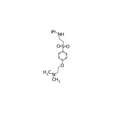 CC(C)NCCS(=O)(=O)c1ccc(OCCN(C)C)cc1